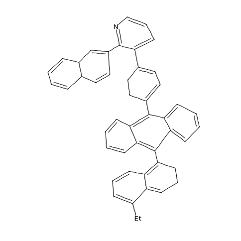 CCc1cccc2c1=CCCC=2c1c2ccccc2c(C2=CC=C(c3cccnc3C3=CC4C=CC=CC4C=C3)CC2)c2ccccc12